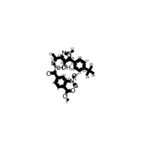 COC(=O)c1ccc(C(=O)NN=C(C)c2nn(C)c(-c3ccc(C(C)(C)C)cc3)c2O)cc1[N+](=O)[O-]